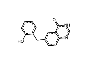 O=c1[nH]cnc2ccc(Cc3ccccc3O)cc12